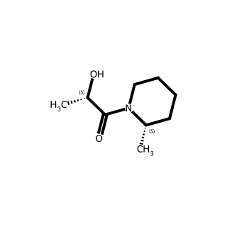 C[C@H](O)C(=O)N1CCCC[C@@H]1C